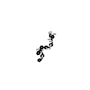 O=C(c1ccc(-c2cccc(C(O)(C(=O)OCC3CCN(Cc4ccccc4)CC3)c3ccccc3)c2)cn1)N1CCC(CNCC(O)c2ccc(O)c3[nH]c(=O)ccc23)CC1